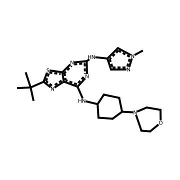 Cn1cc(Nc2nc(NC3CCC(N4CCOCC4)CC3)c3nc(C(C)(C)C)sc3n2)cn1